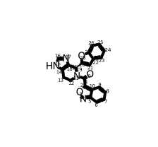 O=C(c1onc2ccccc12)N1CCc2[nH]cnc2[C@H]1c1cc2ccccc2o1